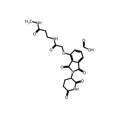 CNC(=O)CCNC(=O)COc1cccc2c1C(=O)N(C1CCC(=O)NC1=O)C2=O.O=CO